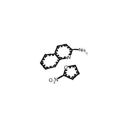 Nc1ccc2ccccc2n1.O=[N+]([O-])c1ccco1